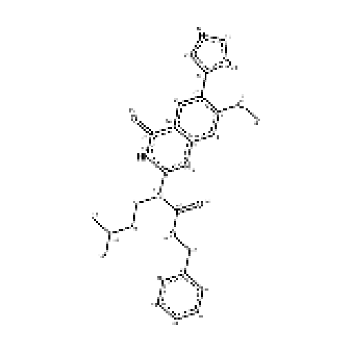 COc1cc2nc(N(CCC(C)C)C(=O)OCc3ccccc3)[nH]c(=O)c2cc1-c1cnco1